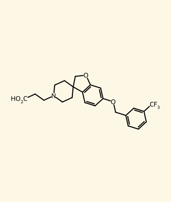 O=C(O)CCN1CCC2(CC1)COc1cc(OCc3cccc(C(F)(F)F)c3)ccc12